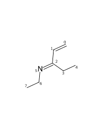 C=C/C(CC)=N/CC